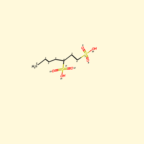 CCCCC(CCS(=O)(=O)O)S(=O)(=O)O